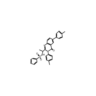 Cc1ccc(-c2ccc3nc(C(C)NS(=O)(=O)c4ccccc4)n(-c4ccc(C)cc4)c(=O)c3c2)cc1